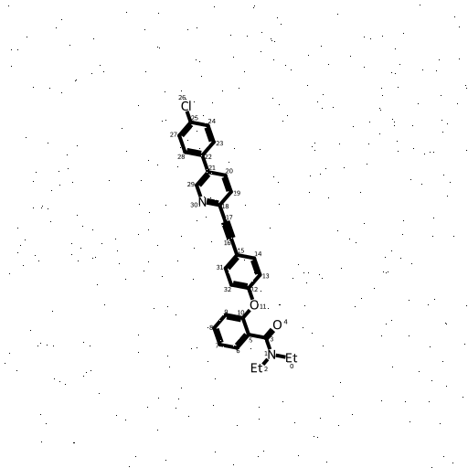 CCN(CC)C(=O)c1ccccc1Oc1ccc(C#Cc2ccc(-c3ccc(Cl)cc3)cn2)cc1